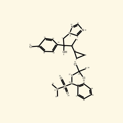 CC(C1CC1)C(O)(Cn1cncn1)c1ccc(Cl)cc1.CN(C)S(=O)(=O)N(SC(F)(Cl)Cl)c1ccccc1